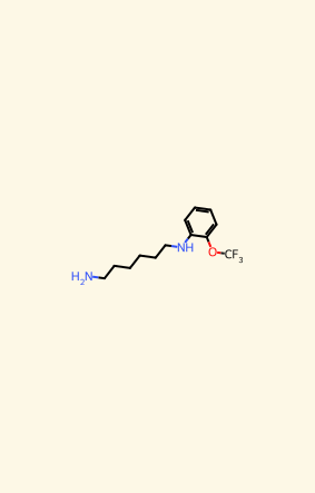 NCCCCCCNc1ccccc1OC(F)(F)F